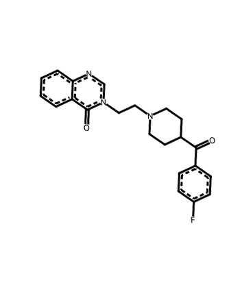 O=C(c1ccc(F)cc1)C1CCN(CCn2cnc3ccccc3c2=O)CC1